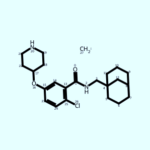 O=C(NCC12CCCC(CCC1)C2)c1cc(OC2CCNCC2)ccc1Cl.[CH2]